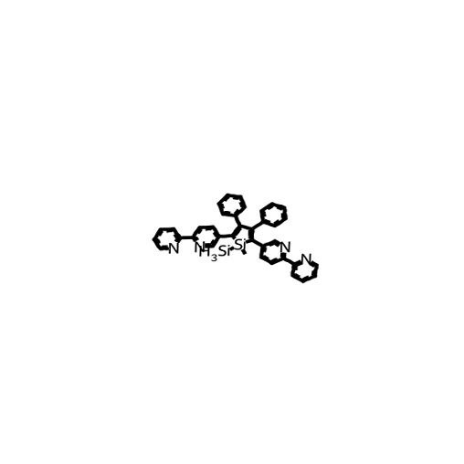 C[Si]1([SiH3])C(c2ccc(-c3ccccn3)nc2)=C(c2ccccc2)C(c2ccccc2)=C1c1ccc(-c2ccccn2)nc1